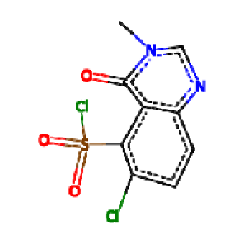 Cn1cnc2ccc(Cl)c(S(=O)(=O)Cl)c2c1=O